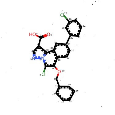 O=C(O)c1cnn2c(Cl)c(OCc3ccccc3)c3ccc(-c4cccc(Cl)c4)cc3c12